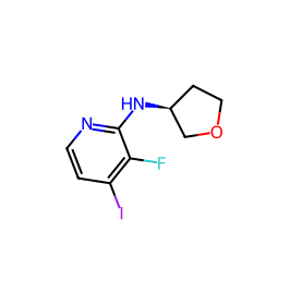 Fc1c(I)ccnc1N[C@H]1CCOC1